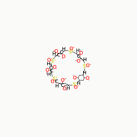 COC1C[C@@H]2C[S+]([O-])C[C@H]3CC(OC)[C@H](CC3OC)C[S+]([O-])C[C@@H]3CC(OC)[C@@H](CC3OC)C[S@+]([O-])[C@H]3CC(OC)[C@H](CC3OC)C[S+]([O-])C[C@H]3CC(OC)[C@H](CC3OC)C[S+]([O-])C[C@H]1CC2OC